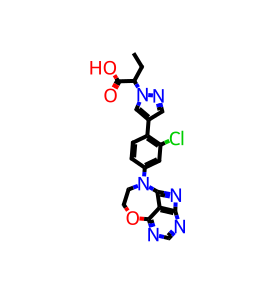 CCC(C(=O)O)n1cc(-c2ccc(N3CCOc4ncnc5c4C3=N5)cc2Cl)cn1